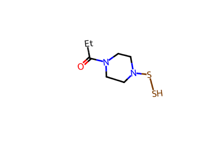 CCC(=O)N1CCN(SS)CC1